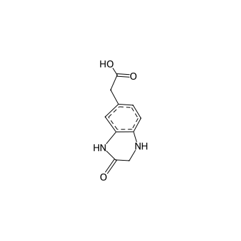 O=C(O)Cc1ccc2c(c1)NC(=O)CN2